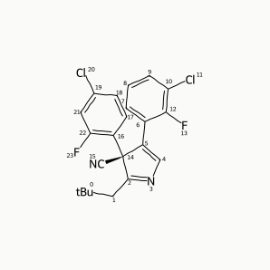 CC(C)(C)CC1=NC=C(c2cccc(Cl)c2F)[C@@]1(C#N)c1ccc(Cl)cc1F